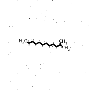 [CH2]C(C)CCCCCCCCCC